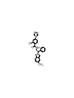 Cc1ccc2nn([C@@H](CNC(=O)c3ccc(-n4cnnc4)cc3Cl)c3ccccc3)cc2c1